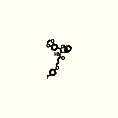 O=C(CCCOc1ccc(F)cc1)N[C@@H](CN1C2CCC1CC2)[C@H](O)c1ccc2c(c1)OCCO2